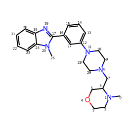 CN1CCOCC1CN1CCN(c2cccc(-c3nc4ccccc4n3C)c2)CC1